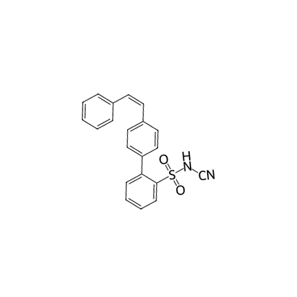 N#CNS(=O)(=O)c1ccccc1-c1ccc(/C=C\c2ccccc2)cc1